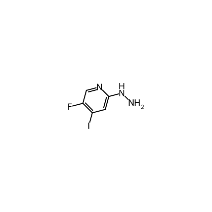 NNc1cc(I)c(F)cn1